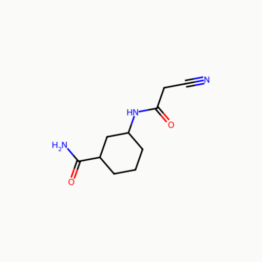 N#CCC(=O)NC1CCCC(C(N)=O)C1